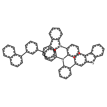 c1cc(-c2ccc(N(c3ccccc3-c3ccc4c(c3)sc3ccccc34)c3ccccc3-n3c4ccccc4c4ccccc43)cc2)cc(-c2cccc3ccccc23)c1